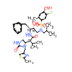 Cc1nc(CN2C(=O)NCC2[C@@H](C(=O)N[C@@H](Cc2ccccc2)[C@H](O)CN(CC(C)C)S(=O)(=O)c2cc(F)c(O)cc2C)C(C)C)cs1